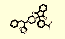 O=C1c2ccccc2C(=O)C1(c1cccc(C(F)F)c1)N1CCN(C(Cc2ccccc2)C2=COCO2)CC1